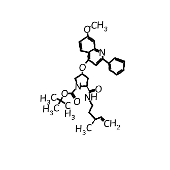 C=C[C@@H](C)CCNC(=O)[C@@H]1C[C@@H](Oc2cc(-c3ccccc3)nc3cc(OC)ccc23)CN1C(=O)OC(C)(C)C